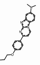 CN(C)c1ccc2c(c1)nc1nc(-c3ccc(OCCF)cc3)ccn12